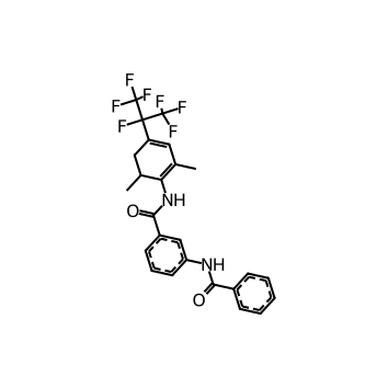 CC1=C(NC(=O)c2cccc(NC(=O)c3ccccc3)c2)C(C)CC(C(F)(C(F)(F)F)C(F)(F)F)=C1